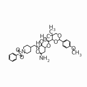 COc1ccc(C2OCC(C)(C)C(C(=O)OC(CC(N)=O)C(=O)NCC3CCN(S(=O)(=O)c4ccccc4)CC3)O2)cc1